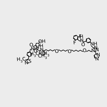 Cc1ncsc1-c1ccc(CNC(=O)C2C[C@@H](O)CN2C(=O)[C@@H](NC(=O)CCCCCOCCCCCOCCCCCCOCCCn2c(CNc3cccc(C(=O)NCc4c(F)cccc4F)c3)nnc2-c2ccncn2)C(C)(C)C)cc1